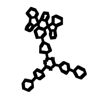 c1ccc(-c2ccc(-c3nc(-c4ccc(-c5ccccc5)cc4)nc(-c4ccc(-c5ccc6c(c5)C5(c7ccccc7-c7ccccc75)c5ccccc5C65c6ccccc6-c6ccccc65)cc4)n3)cc2)cc1